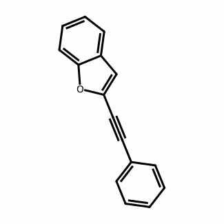 C(#Cc1cc2ccccc2o1)c1ccccc1